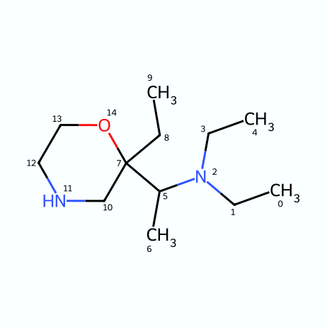 CCN(CC)C(C)C1(CC)CNCCO1